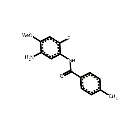 COc1cc(F)c(NC(=O)c2ccc(C)cc2)cc1N